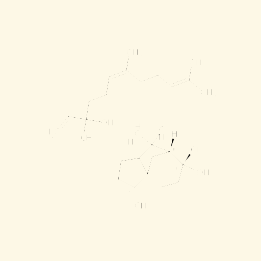 C=CC(C)(O)CCC=C(C)CCC=C(C)C.C[C@@H]1CC[C@H]2C(C)(C)[C@H]3C[C@@]12CC[C@@]3(C)O